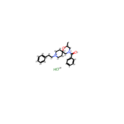 CC1CN(C(=O)c2ccccc2)CC2(CCN(CCc3ccccc3)CC2)O1.Cl